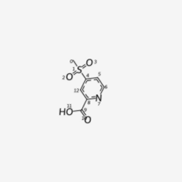 CS(=O)(=O)c1ccnc(C(=O)O)c1